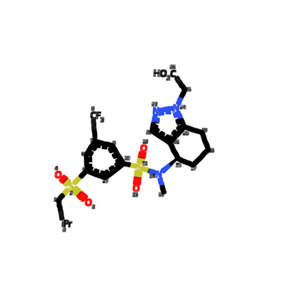 CC(C)CS(=O)(=O)c1cc(C(F)(F)F)cc(S(=O)(=O)N(C)[C@@H]2CCCc3c2cnn3CC(=O)O)c1